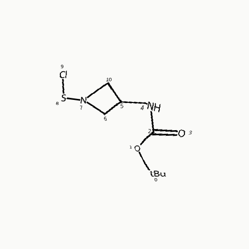 CC(C)(C)OC(=O)NC1CN(SCl)C1